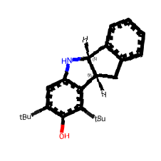 CC(C)(C)c1cc2c(c(C(C)(C)C)c1O)[C@H]1Cc3ccccc3[C@H]1N2